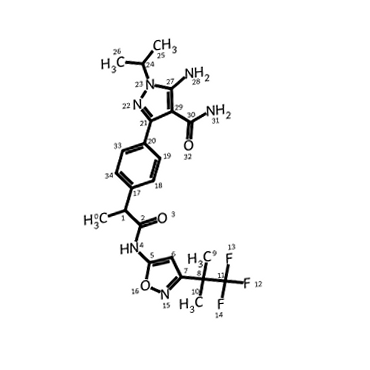 CC(C(=O)Nc1cc(C(C)(C)C(F)(F)F)no1)c1ccc(-c2nn(C(C)C)c(N)c2C(N)=O)cc1